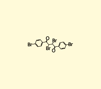 O=C(c1ccc(Br)cc1)C(Br)C(Br)C(=O)c1ccc(Br)cc1